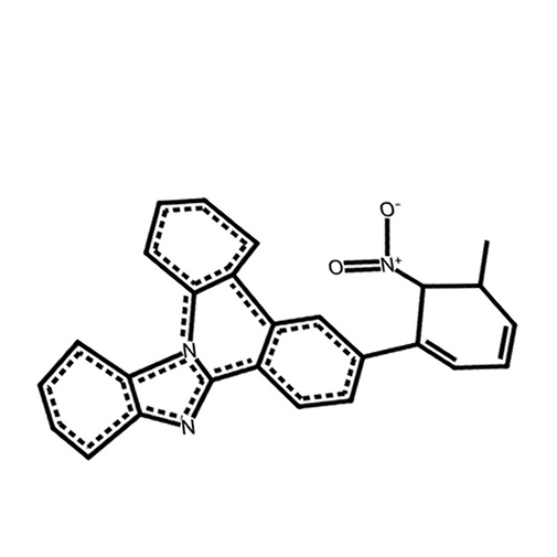 CC1C=CC=C(c2ccc3c(c2)c2ccccc2n2c4ccccc4nc32)C1[N+](=O)[O-]